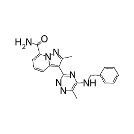 Cc1nnc(-c2c(C)nn3c(C(N)=O)cccc23)nc1NCc1ccccc1